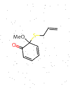 C=CCSC1(OC)C=CC=CC1=O